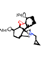 COc1cccc2c1OC1C(OC)CCC3CN(CC4CC4)CCC231